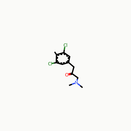 Cc1c(Cl)cc(CC(=O)CN(C)C)cc1Cl